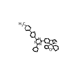 CC1C=CC(c2ccc(-c3nc(-c4ccccc4)nc(-c4ccc5c(c4)C4(c6ccccc6Oc6ccccc64)c4ccccc4-5)n3)cc2)=CC1